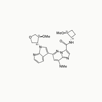 CNc1cc(-c2cn([C@@H]3COC[C@H]3OC)c3ncccc23)nn2c(C(=O)N[C@H]3CC[C@@H]3OC)cnc12